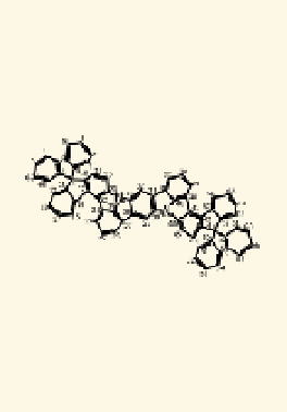 c1ccc(C2(c3ccccc3)c3ccccc3-c3c2ccc2c3c3cccc4c5cc6c(cc5n2c43)c2cccc3c4c5c(ccc4n6c23)C(c2ccccc2)(c2ccccc2)c2ccccc2-5)cc1